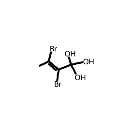 CC(Br)=C(Br)C(O)(O)O